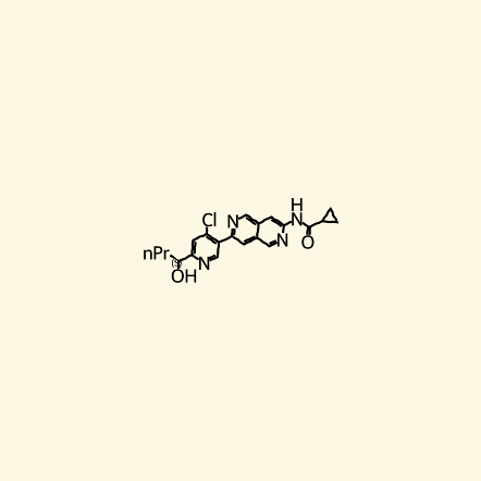 CCC[C@H](O)c1cc(Cl)c(-c2cc3cnc(NC(=O)C4CC4)cc3cn2)cn1